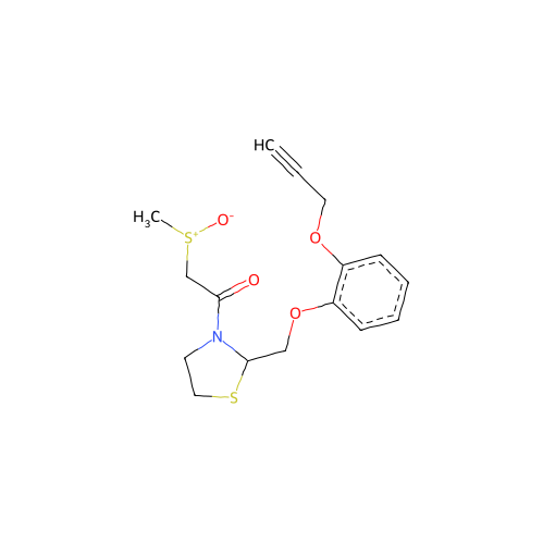 C#CCOc1ccccc1OCC1SCCN1C(=O)C[S+](C)[O-]